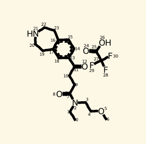 CCN(CCOC)C(=O)CCC(=O)c1ccc2c(c1)CCNCC2.O=C(O)C(F)(F)F